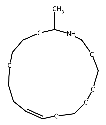 CC1CCCCCCC=CCCCCCCCN1